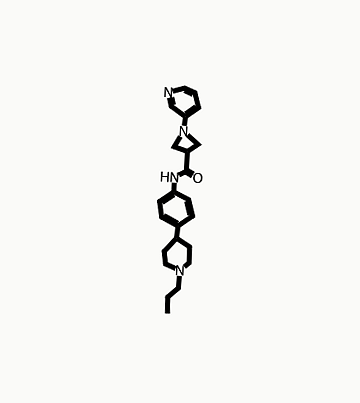 CCCN1CCC(c2ccc(NC(=O)C3CN(c4cccnc4)C3)cc2)CC1